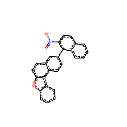 O=[N+]([O-])c1ccc2ccccc2c1-c1ccc2c(ccc3oc4ccccc4c32)c1